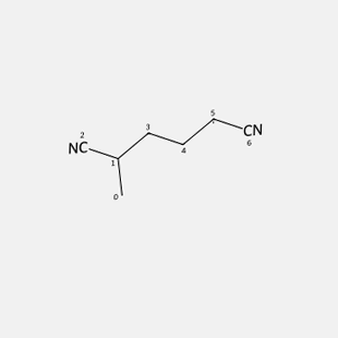 CC(C#N)CC[CH]C#N